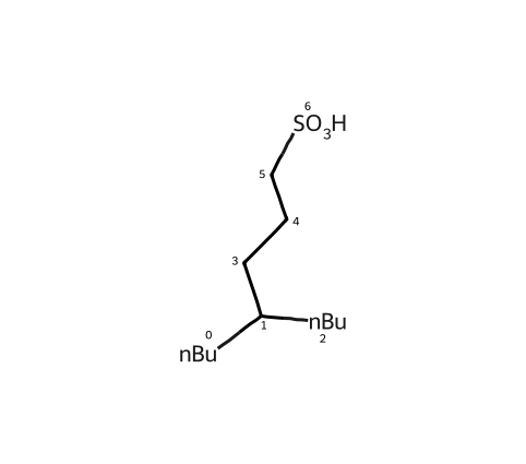 CCCCC(CCCC)CCCS(=O)(=O)O